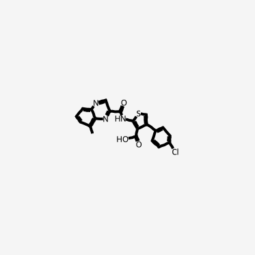 Cc1cccc2ncc(C(=O)Nc3scc(-c4ccc(Cl)cc4)c3C(=O)O)nc12